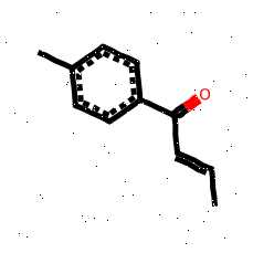 CC=CC(=O)c1ccc(C)cc1